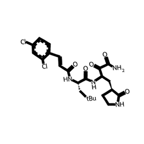 CC(C)(C)C[C@H](NC(=O)/C=C/c1ccc(Cl)cc1Cl)C(=O)NC(C[C@@H]1CCNC1=O)C(=O)C(N)=O